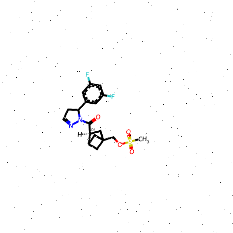 CS(=O)(=O)OCC12CC(C1)[C@@H](C(=O)N1N=CCC1c1cc(F)cc(F)c1)C2